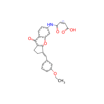 CCOc1cccc(C=C2CCc3c2oc2cc(NC(=O)/C=C\C(=O)O)ccc2c3=O)c1